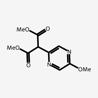 COC(=O)C(C(=O)OC)c1cnc(OC)cn1